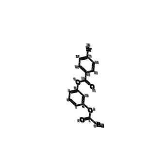 CCC(C)C(=O)Oc1cccc(OC(=O)c2ccc(Br)cc2)c1